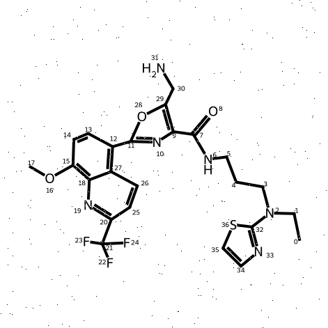 CCN(CCCNC(=O)c1nc(-c2ccc(OC)c3nc(C(F)(F)F)ccc23)oc1CN)c1nccs1